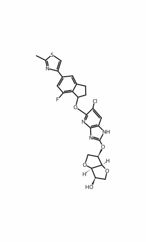 Cc1nc(-c2cc(F)c3c(c2)CCC3Oc2nc3nc(O[C@@H]4CO[C@H]5[C@@H]4OC[C@H]5O)[nH]c3cc2Cl)cs1